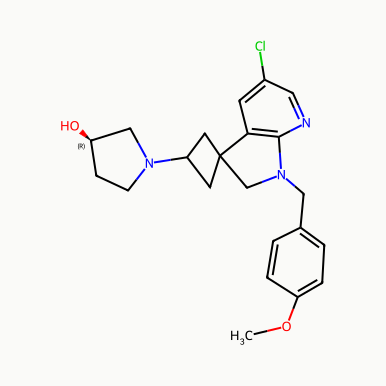 COc1ccc(CN2CC3(CC(N4CC[C@@H](O)C4)C3)c3cc(Cl)cnc32)cc1